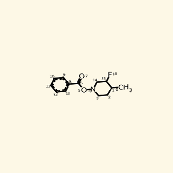 CC1CCN(OC(=O)c2ccccc2)CC1F